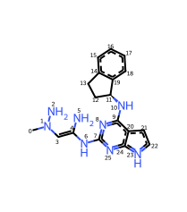 CN(N)/C=C(\N)Nc1nc(N[C@H]2CCc3ccccc32)c2cc[nH]c2n1